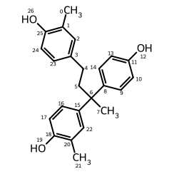 Cc1cc(CCC(C)(c2ccc(O)cc2)c2ccc(O)c(C)c2)ccc1O